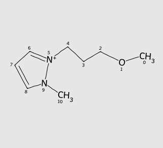 COCCC[n+]1cccn1C